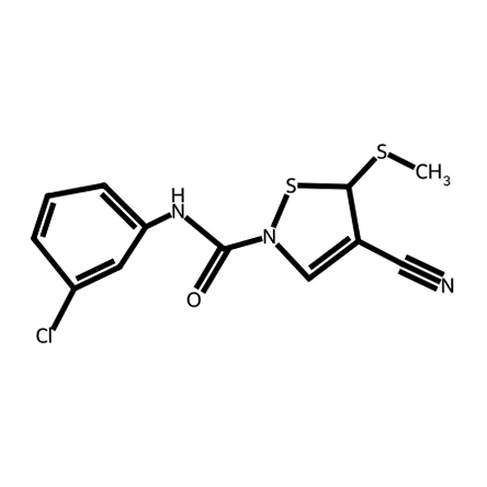 CSC1SN(C(=O)Nc2cccc(Cl)c2)C=C1C#N